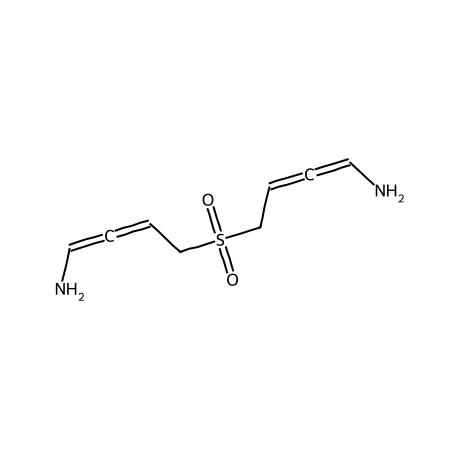 NC=C=CCS(=O)(=O)CC=C=CN